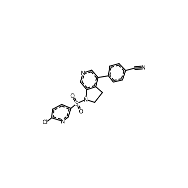 N#Cc1ccc(-c2cncc3c2CCN3S(=O)(=O)c2ccc(Cl)nc2)cc1